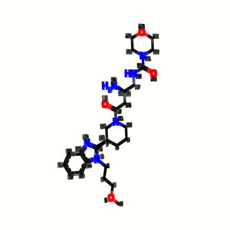 COCCCn1c([C@@H]2CCCN(C(=O)C[C@@H](N)CNC(=O)N3CCOCC3)C2)nc2ccccc21